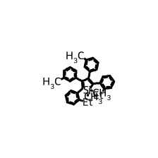 CCc1ccccc1C1=C(c2cccc(C)c2)C(c2cccc(C)c2)=C(c2ccccc2CC)[Si]1(C)C